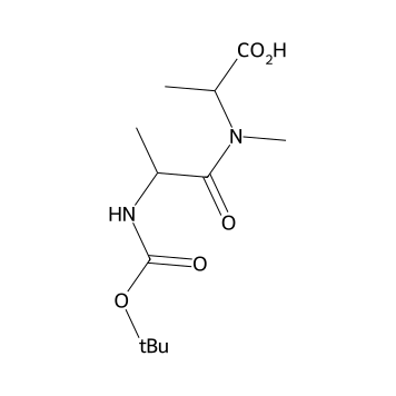 CC(NC(=O)OC(C)(C)C)C(=O)N(C)C(C)C(=O)O